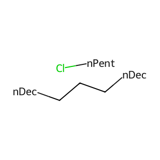 CCCCCCCCCCCCCCCCCCCCCCC.CCCCCCl